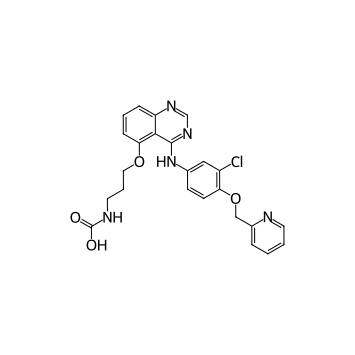 O=C(O)NCCCOc1cccc2ncnc(Nc3ccc(OCc4ccccn4)c(Cl)c3)c12